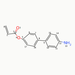 C=CC(=O)Oc1ccc(-c2ccc(N)cc2)cc1